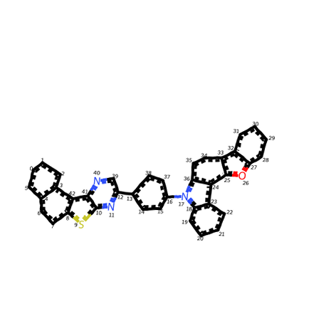 c1ccc2c(c1)ccc1sc3nc(-c4ccc(-n5c6ccccc6c6c7oc8ccccc8c7ccc65)cc4)cnc3c12